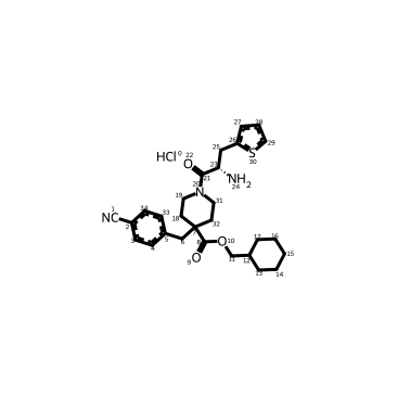 Cl.N#Cc1ccc(CC2(C(=O)OCC3CCCCC3)CCN(C(=O)[C@@H](N)Cc3cccs3)CC2)cc1